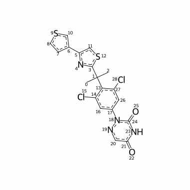 CC(C)(c1nc(-c2ccsc2)cs1)c1c(Cl)cc(-n2ncc(=O)[nH]c2=O)cc1Cl